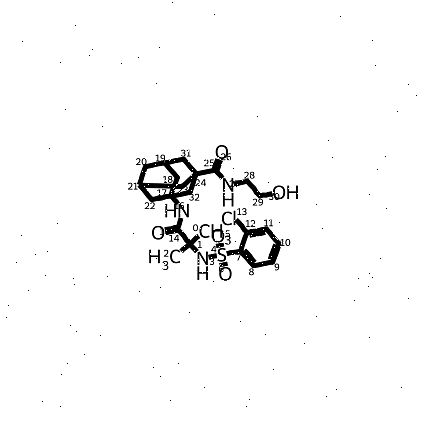 CC(C)(NS(=O)(=O)c1ccccc1Cl)C(=O)NC12CC3CC(C1)CC(C(=O)NCCO)(C3)C2